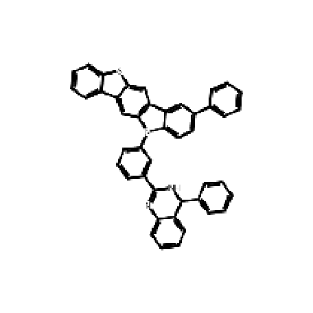 c1ccc(-c2ccc3c(c2)c2cc4sc5ccccc5c4cc2n3-c2cccc(C3=Nc4ccccc4C(c4ccccc4)N3)c2)cc1